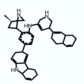 C[C@@H]1CC(c2cc(C3C=C4C(=CC3)NC3C=CCCC43)ccc2NC2=CC(C3=CC4CCC=CC4CC3)CNC2)C12CN2